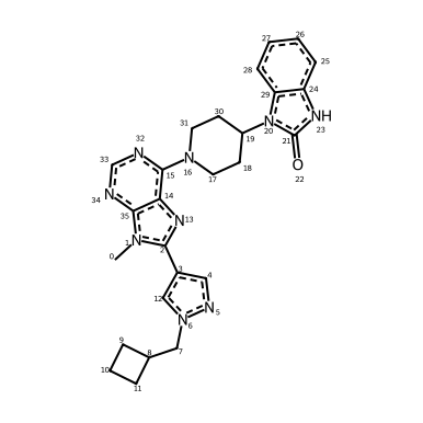 Cn1c(-c2cnn(CC3CCC3)c2)nc2c(N3CCC(n4c(=O)[nH]c5ccccc54)CC3)ncnc21